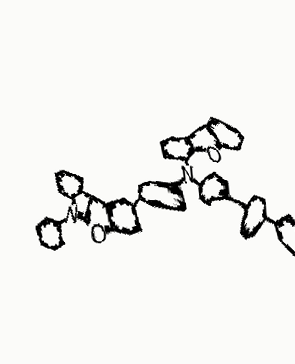 c1ccc(-c2ccc(-c3ccc(N(c4ccc(-c5ccc6oc7c(c6c5)c5ccccc5n7-c5ccccc5)cc4)c4cccc5c4oc4ccccc45)cc3)cc2)cc1